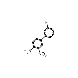 Nc1ccc(-c2cccc(F)c2)cc1[N+](=O)[O-]